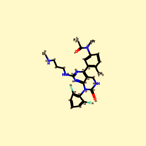 CCCN(C(=O)C(F)(F)F)c1ccc(C)c(-c2nc(NCCCNCC)nc3c2CNC(=O)N3c2c(F)cccc2F)c1